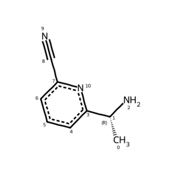 C[C@@H](N)c1cccc(C#N)n1